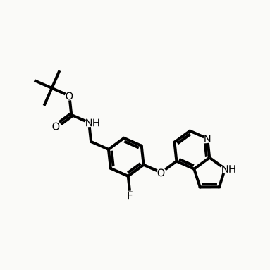 CC(C)(C)OC(=O)NCc1ccc(Oc2ccnc3[nH]ccc23)c(F)c1